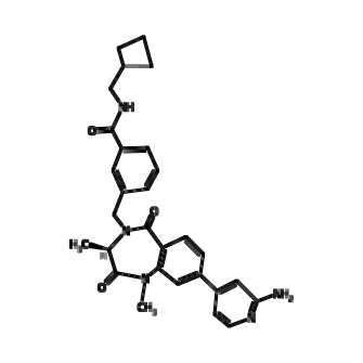 C[C@@H]1C(=O)N(C)c2cc(-c3ccnc(N)c3)ccc2C(=O)N1Cc1cccc(C(=O)NCC2CCC2)c1